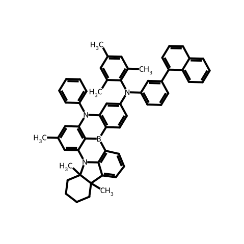 Cc1cc(C)c(N(c2cccc(-c3cccc4ccccc34)c2)c2ccc3c(c2)N(c2ccccc2)c2cc(C)cc4c2B3c2cccc3c2N4C2(C)CCCCC32C)c(C)c1